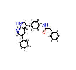 O=C(Cc1ccccc1)Nc1ccc(-c2c[nH]c3ncc(-c4ccccc4)cc23)cc1